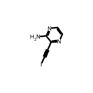 Nc1nccnc1C#CI